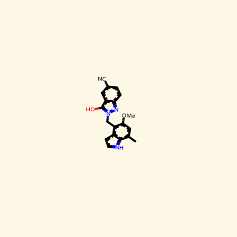 COc1cc(C)c2[nH]ccc2c1Cn1nc2ccc(C#N)cc2c1O